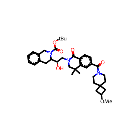 COC1CC2(CCN(C(=O)c3ccc4c(c3)C(C)(C)CN(C[C@@H](O)C3Cc5ccccc5CN3C(=O)OC(C)(C)C)C4=O)CC2)C1